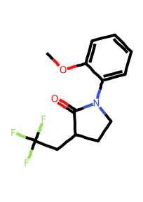 COc1ccccc1N1CCC(CC(F)(F)F)C1=O